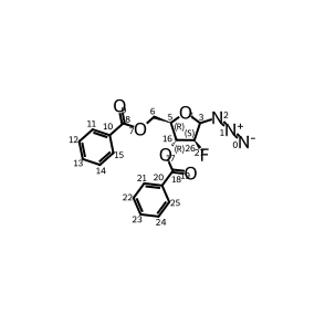 [N-]=[N+]=NC1O[C@H](COC(=O)c2ccccc2)[C@@H](OC(=O)c2ccccc2)[C@@H]1F